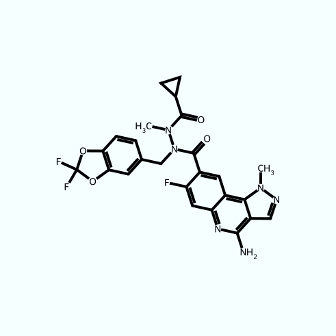 CN(C(=O)C1CC1)N(Cc1ccc2c(c1)OC(F)(F)O2)C(=O)c1cc2c(cc1F)nc(N)c1cnn(C)c12